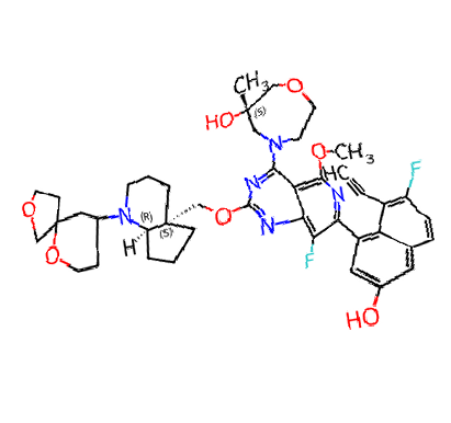 C#Cc1c(F)ccc2cc(O)cc(-c3nc(OC)c4c(N5CCOC[C@@](C)(O)C5)nc(OC[C@]56CCC[C@H]5N(C5CCOC7(CCOC7)C5)CCC6)nc4c3F)c12